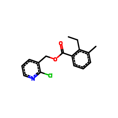 CCc1c(C)cccc1C(=O)OCc1cccnc1Cl